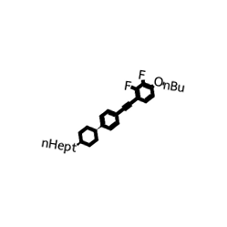 CCCCCCC[C@H]1CC[C@H](c2ccc(C#Cc3ccc(OCCCC)c(F)c3F)cc2)CC1